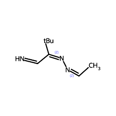 C/C=N\N=C(/C=N)C(C)(C)C